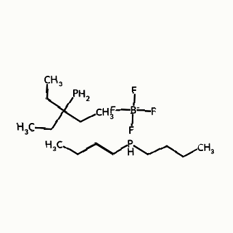 CCC(P)(CC)CC.CCCCPCCCC.F[B-](F)(F)F